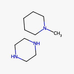 C1CNCCN1.CN1CCCCC1